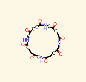 O=C1CCC(=O)NCC(=O)CCC(=O)NCC(=O)CCC(=O)NCC(=O)CCC(=O)NC1